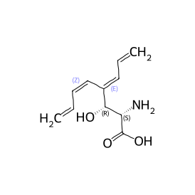 C=C/C=C\C(=C/C=C)[C@@H](O)[C@H](N)C(=O)O